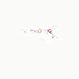 COc1cc2sc(C(=O)CC(C)C(=O)O)cc2nc1OCCCOc1c(F)c2c(c(F)c1OC)CN(C(=O)CC(C)C(=O)O)C2